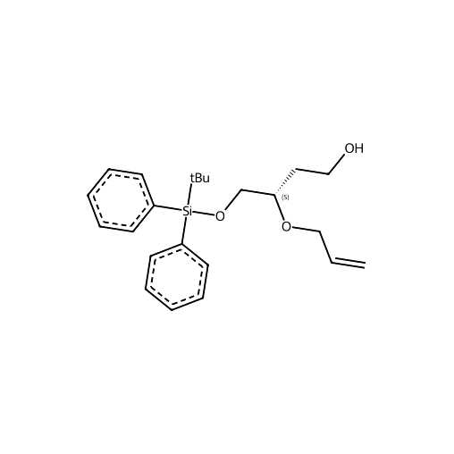 C=CCO[C@@H](CCO)CO[Si](c1ccccc1)(c1ccccc1)C(C)(C)C